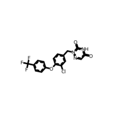 O=c1cnn(Cc2ccc(Oc3ccc(C(F)(F)F)cc3)c(Cl)c2)c(=O)[nH]1